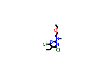 CCOCCN(C)c1nc(Cl)c(CC)c(Cl)n1